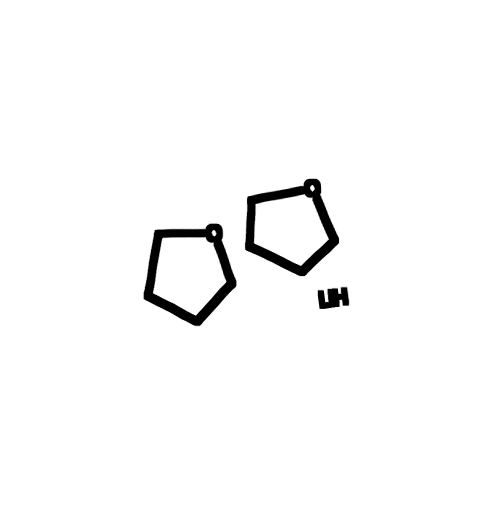 C1CCOC1.C1CCOC1.[LiH]